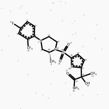 C[C@@H]1CN(c2ccc(F)cc2C(F)(F)F)CCN1S(=O)(=O)c1ccc(C(C)(O)C(N)=O)s1